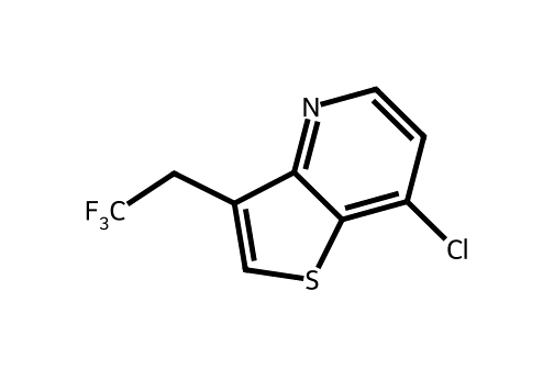 FC(F)(F)Cc1csc2c(Cl)ccnc12